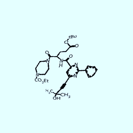 CCOC(=O)N1CCN(C(=O)C(CCC(=O)OC(C)(C)C)NC(=O)c2cc(C#CC(C)(C)O)nc(-c3ccccc3)n2)CC1